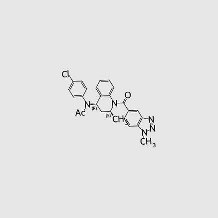 CC(=O)N(c1ccc(Cl)cc1)[C@@H]1C[C@H](C)N(C(=O)c2ccc3c(c2)nnn3C)c2ccccc21